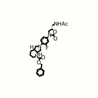 CC(=O)NC[C@H]1CN(c2ccc(N3C[C@@H]4CCCN(C(=O)OCc5ccccc5)[C@@H]4C3)c(F)c2)C(=O)O1